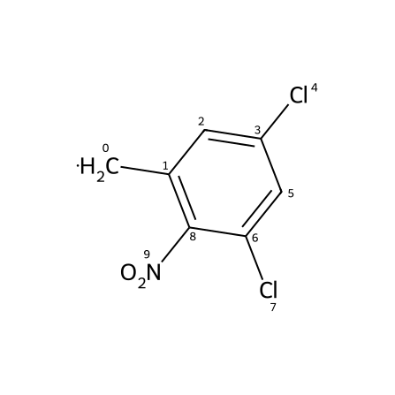 [CH2]c1cc(Cl)cc(Cl)c1[N+](=O)[O-]